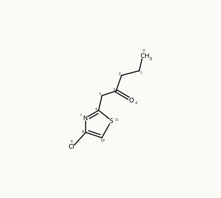 CCCC(=O)Cc1nc(Cl)cs1